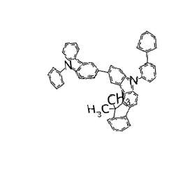 CC1(C)c2ccccc2-c2ccc3c(c21)c1cc(-c2ccc4c(c2)c2ccccc2n4-c2ccccc2)ccc1n3-c1cccc(-c2ccccc2)c1